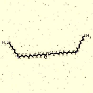 CCCCCCCC/C=C\CCCCCCCCCCCCOC(=O)CCCCCCCCCCC/C=C\CCCCCCCC